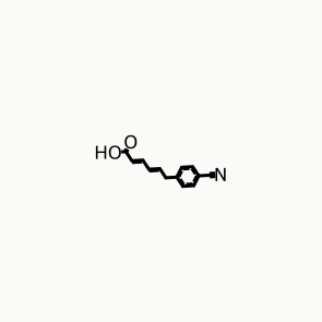 N#Cc1ccc(C/C=C/C=C/C(=O)O)cc1